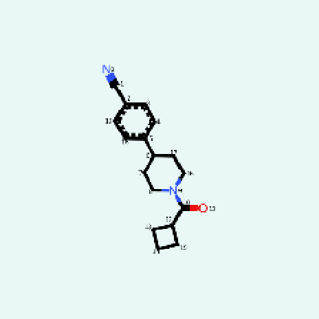 N#Cc1ccc(C2CCN(C(=O)C3[CH]CC3)CC2)cc1